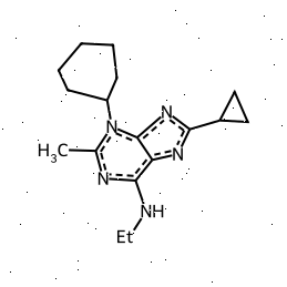 CCNc1nc(C)n(C2CCCCC2)c2nc(C3CC3)nc1-2